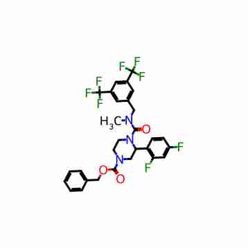 CN(Cc1cc(C(F)(F)F)cc(C(F)(F)F)c1)C(=O)N1CCN(C(=O)OCc2ccccc2)CC1c1ccc(F)cc1F